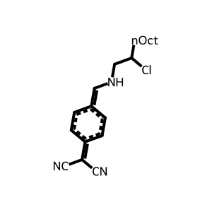 CCCCCCCCC(Cl)CNC=c1ccc(=C(C#N)C#N)cc1